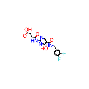 O=C(O)CCC(=O)Nc1ncc(C(=O)NCc2ccc(F)c(F)c2)c(O)n1